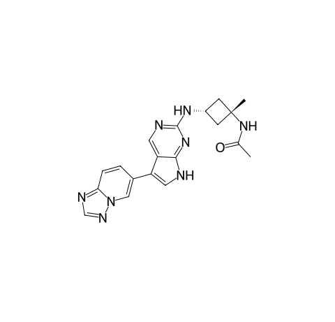 CC(=O)N[C@]1(C)C[C@H](Nc2ncc3c(-c4ccc5ncnn5c4)c[nH]c3n2)C1